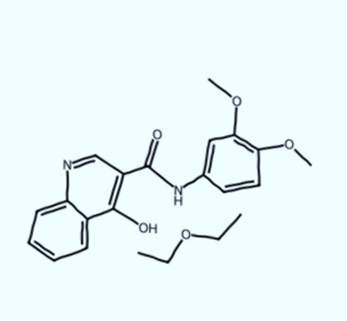 CCOCC.COc1ccc(NC(=O)c2cnc3ccccc3c2O)cc1OC